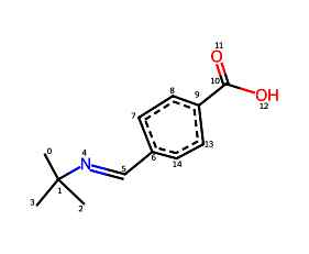 CC(C)(C)/N=C/c1ccc(C(=O)O)cc1